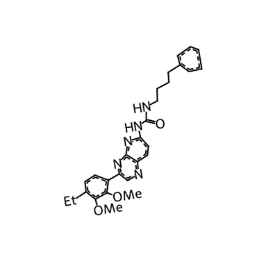 CCc1ccc(-c2cnc3ccc(NC(=O)NCCCCc4ccccc4)nc3n2)c(OC)c1OC